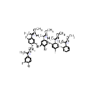 CO/N=C(\C)c1cc(F)ccc1F.CO/N=C(\C)c1ccc(Br)c(Br)c1.CO/N=C(\C)c1ccc(Cl)c(F)c1.CO/N=C(\C)c1ccc(F)cc1Br.CO/N=C(\C)c1ccccc1Br